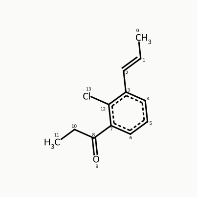 CC=Cc1cccc(C(=O)CC)c1Cl